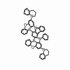 c1ccc(N2c3cc(N4CCCc5ccccc54)cc4c3B(c3ccccc3O4)c3cc4c5c(c32)c2ccccc2n5-c2cc(N3CCCc5ccccc53)cc3c2B4c2ccccc2O3)cc1